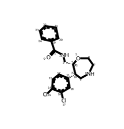 O=C(NC[C@@H]1OCCNC[C@@H]1c1ccc(Cl)c(Cl)c1)c1ccccc1